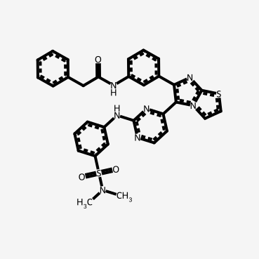 CN(C)S(=O)(=O)c1cccc(Nc2nccc(-c3c(-c4cccc(NC(=O)Cc5ccccc5)c4)nc4sccn34)n2)c1